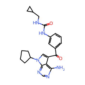 Nc1ncnc2c1c(C(=O)c1cccc(NC(=O)NCC3CC3)c1)cn2C1CCCC1